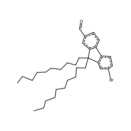 CCCCCCCCCCC1(CCCCCCCCCC)c2cc(Br)ccc2-c2ccc(C=O)cc21